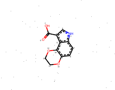 O=C(O)c1c[nH]c2ccc3c(c12)OCCO3